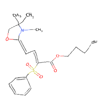 CN1/C(=C\C=C(\C(=O)OCCCC(C)(C)C)S(=O)(=O)c2ccccc2)OCC1(C)C